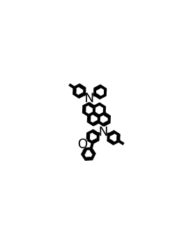 Cc1ccc(N(C2=CCCC=C2)c2ccc3ccc4c(N(c5ccc(C)cc5)c5ccc6oc7ccccc7c6c5)ccc5c4c3c2CC5)cc1